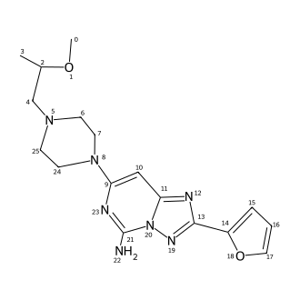 COC(C)CN1CCN(c2cc3nc(-c4ccco4)nn3c(N)n2)CC1